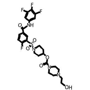 O=C(Nc1cc(F)c(F)c(F)c1)c1ccc(F)c(S(=O)(=O)N2CCC(OC(=O)N3CCN(CCO)CC3)CC2)c1